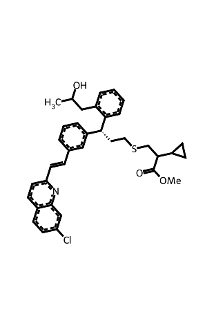 COC(=O)C(CSCC[C@H](c1cccc(C=Cc2ccc3ccc(Cl)cc3n2)c1)c1ccccc1CC(C)O)C1CC1